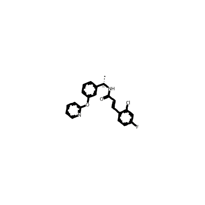 C[C@H](NC(=O)C=Cc1ccc(F)cc1Cl)c1cccc(Oc2ccccn2)c1